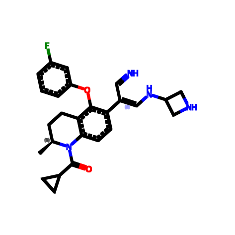 C[C@H]1CCc2c(ccc(/C(C=N)=C/NC3CNC3)c2Oc2cccc(F)c2)N1C(=O)C1CC1